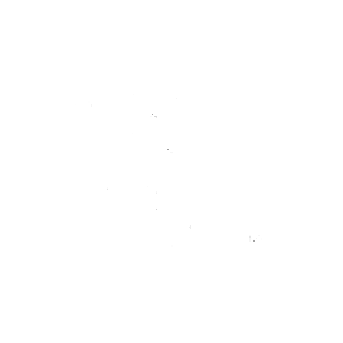 CS(=O)(=O)O.O=C1c2cccc3cc([N+](=O)[O-])cc(c23)C(=O)N1CCNCCC(CCN1C(=O)c2cccc3cc([N+](=O)[O-])cc(c23)C1=O)=S(=O)=O